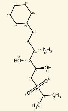 CC(C)S(=O)(=O)C[C@H](O)[C@H](O)[C@@H](N)CCC1CCCCC1